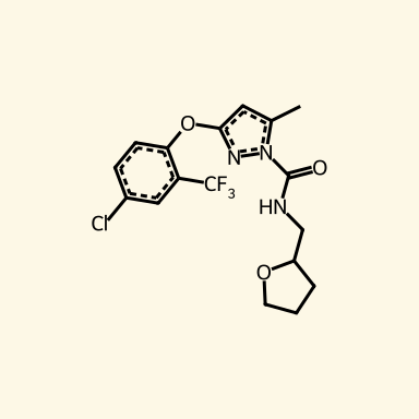 Cc1cc(Oc2ccc(Cl)cc2C(F)(F)F)nn1C(=O)NCC1CCCO1